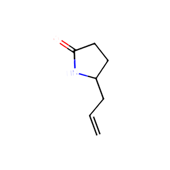 C=CCC1CCC(=O)N1